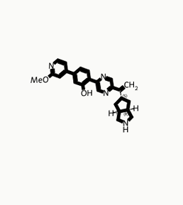 C=C(c1cnc(-c2ccc(-c3ccnc(OC)c3)cc2O)cn1)[C@@H]1C[C@H]2CNC[C@H]2C1